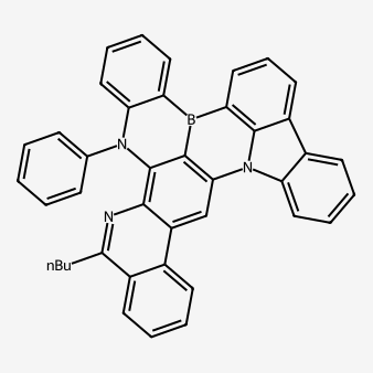 CCCCc1nc2c3c4c(cc2c2ccccc12)-n1c2ccccc2c2cccc(c21)B4c1ccccc1N3c1ccccc1